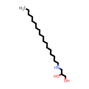 CCCCCCCCCCCCCCCCCCNCC(O)CO